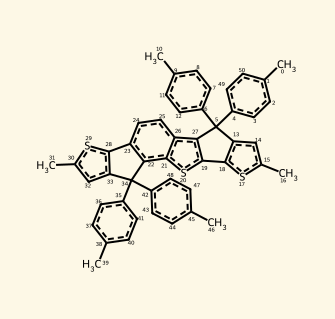 Cc1ccc(C2(c3ccc(C)cc3)c3cc(C)sc3-c3sc4c5c(ccc4c32)-c2sc(C)cc2C5(c2ccc(C)cc2)c2ccc(C)cc2)cc1